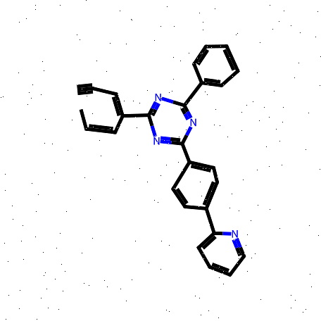 C#C/C=C(\C=C/C)c1nc(-c2ccccc2)nc(-c2ccc(-c3ccccn3)cc2)n1